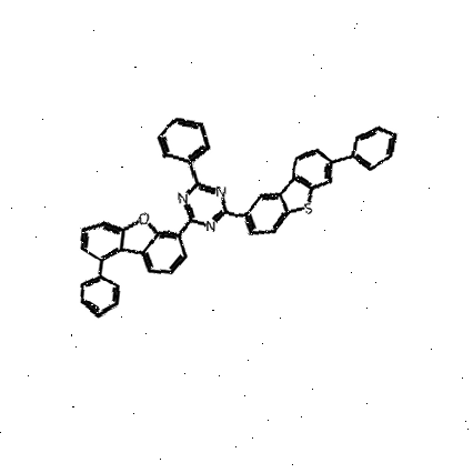 c1ccc(-c2ccc3c(c2)sc2ccc(-c4nc(-c5ccccc5)nc(-c5cccc6c5oc5cccc(-c7ccccc7)c56)n4)cc23)cc1